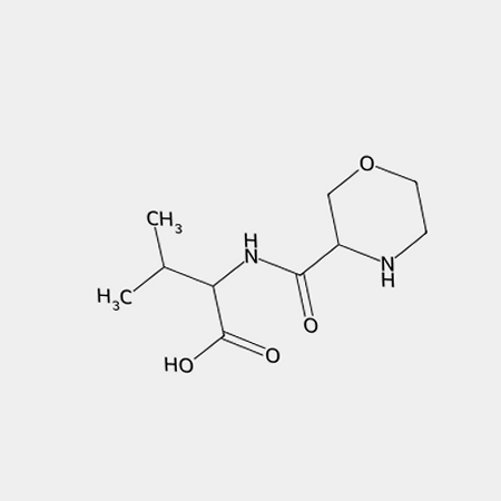 CC(C)C(NC(=O)C1COCCN1)C(=O)O